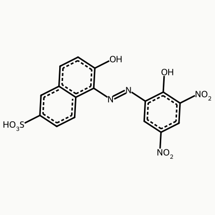 O=[N+]([O-])c1cc(/N=N/c2c(O)ccc3cc(S(=O)(=O)O)ccc23)c(O)c([N+](=O)[O-])c1